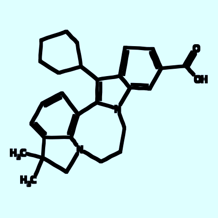 CC1(C)CN2CCCn3c(c(C4CCCCC4)c4ccc(C(=O)O)cc43)-c3cccc1c32